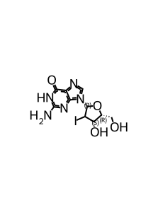 Nc1nc2c(ncn2[C@@H]2O[C@H](CO)[C@H](O)C2I)c(=O)[nH]1